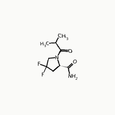 CC(C)C(=O)N1CC(F)(F)C[C@H]1C(N)=O